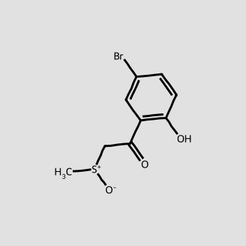 C[S+]([O-])CC(=O)c1cc(Br)ccc1O